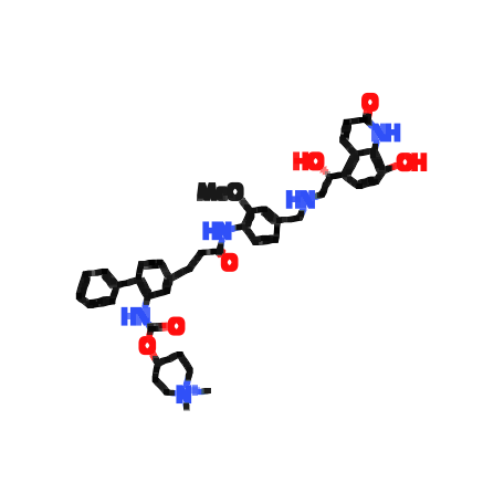 COc1cc(CNC[C@H](O)c2ccc(O)c3[nH]c(=O)ccc23)ccc1NC(=O)CCc1ccc(-c2ccccc2)c(NC(=O)OC2CC[N+](C)(C)CC2)c1